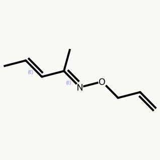 C=CCO/N=C(C)/C=C/C